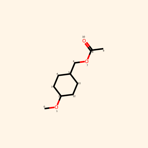 COC1CCC(COC(C)=O)CC1